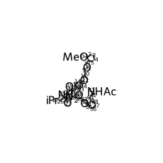 COc1ccccc1COCCCOc1ccc([C@H]2[C@H](O)CN(C(=O)[C@@H](N)CC(C)C)C[C@@H]2OCCOc2ccccc2CCNC(C)=O)cc1